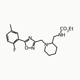 CCOC(=O)NCC1CCCCN1Cc1noc(-c2cc(C)ccc2F)n1